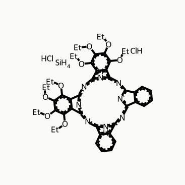 CCOc1c(OCC)c(OCC)c2c(c1OCC)-c1nc-2nc2[nH]c(nc3nc(nc4[nH]c(n1)c1ccccc41)-c1ccccc1-3)c1c(OCC)c(OCC)c(OCC)c(OCC)c21.Cl.Cl.[SiH4]